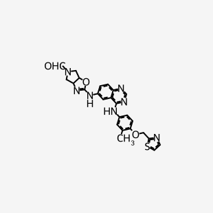 Cc1cc(Nc2ncnc3ccc(NC4=NC5CN(C=O)CC5O4)cc23)ccc1OCc1nccs1